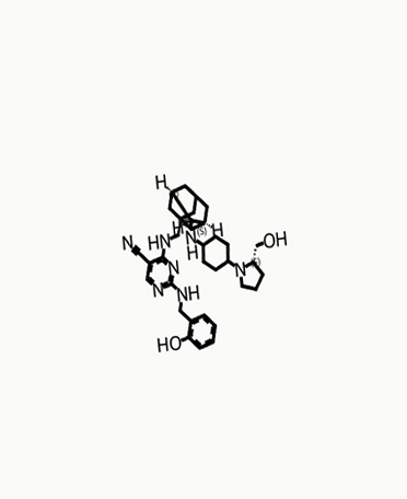 N#Cc1cnc(NCc2ccccc2O)nc1NC[C@]12CC3C[C@H](C1)[C@@H](NC1CCC(N4CCC[C@H]4CO)CC1)[C@@H](C3)C2